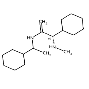 C=C(NC(C)C1CCCCC1)[C@@H](NC)C1CCCCC1